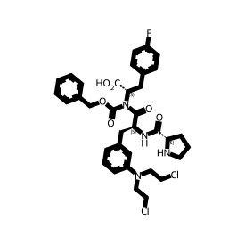 O=C(N[C@@H](Cc1cccc(N(CCCl)CCCl)c1)C(=O)N(C(=O)OCc1ccccc1)[C@@H](Cc1ccc(F)cc1)C(=O)O)[C@@H]1CCCN1